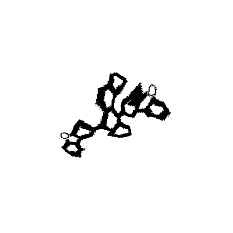 c1ccc2c(c1)ccc1c(-c3ccc4oc5ccccc5c4c3)c3ccccc3c(-c3ccc4oc5ccccc5c4c3)c12